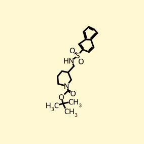 CC(C)(C)OC(=O)N1CCCC(CNS(=O)(=O)c2ccc3ccccc3c2)C1